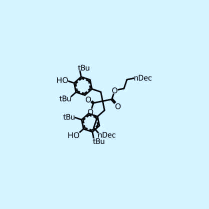 CCCCCCCCCCCCOC(=O)C(Cc1cc(C(C)(C)C)c(O)c(C(C)(C)C)c1)(Cc1cc(C(C)(C)C)c(O)c(C(C)(C)C)c1)C(=O)OCCCCCCCCCCCC